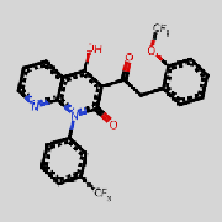 O=C(Cc1ccccc1OC(F)(F)F)c1c(O)c2cccnc2n(-c2cccc(C(F)(F)F)c2)c1=O